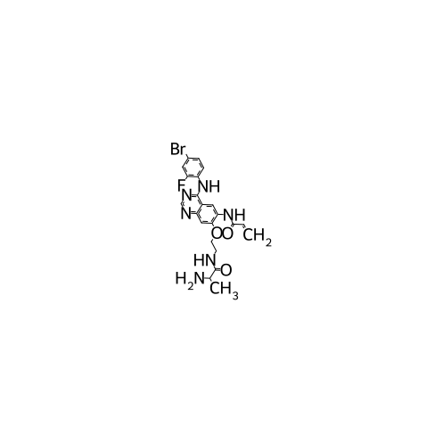 C=CC(=O)Nc1cc2c(Nc3ccc(Br)cc3F)ncnc2cc1OCCNC(=O)C(C)N